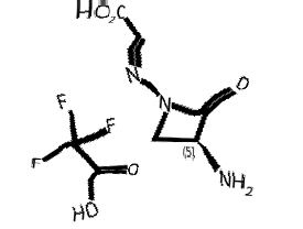 N[C@H]1CN(N=CC(=O)O)C1=O.O=C(O)C(F)(F)F